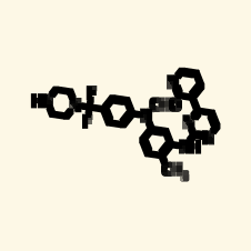 Cc1ccc(N(C=O)c2ccc(C(F)(F)N3CCNCC3)cc2)cc1Nc1nccc(-c2cccnc2)n1